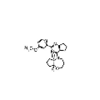 COc1ccnc(-c2nc3c(c(N4CCCO[C@@H]5CCC[C@@H]54)n2)CCC3)c1